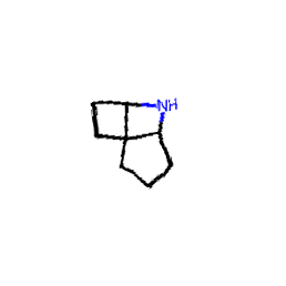 C1CC2NC3CCC23C1